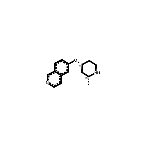 C[C@@H]1C[C@H](Oc2ccc3cnccc3c2)CCN1